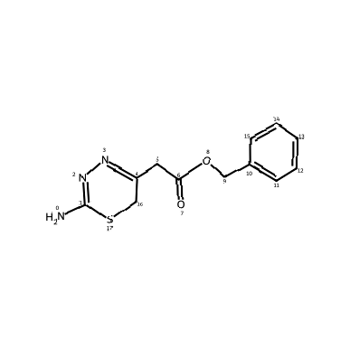 NC1=NN=C(CC(=O)OCc2ccccc2)CS1